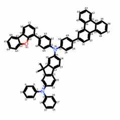 CC1(C)c2cc(N(c3ccccc3)c3ccccc3)ccc2-c2ccc(N(c3ccc(-c4ccc5c6ccccc6c6ccccc6c5c4)cc3)c3ccc(-c4cccc5c4oc4ccccc45)cc3)cc21